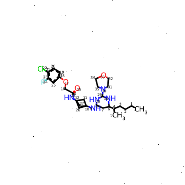 CCCCC(C)C1CC(NC23CC(NC(=O)COc4ccc(Cl)c(F)c4)(C2)C3)NC(N2CCOCC2)N1